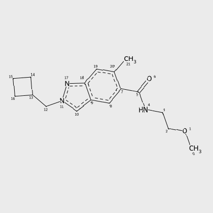 COCCNC(=O)c1cc2cn(CC3CCC3)nc2cc1C